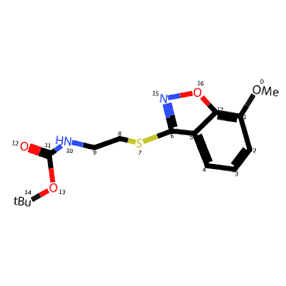 COc1cccc2c(SCCNC(=O)OC(C)(C)C)noc12